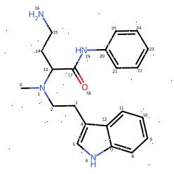 CN(CCc1c[nH]c2ccccc12)C(CCN)C(=O)Nc1ccccc1